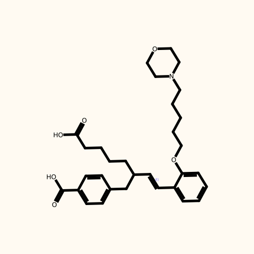 O=C(O)CCCCC(/C=C/c1ccccc1OCCCCCN1CCOCC1)Cc1ccc(C(=O)O)cc1